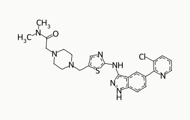 CN(C)C(=O)CN1CCN(Cc2cnc(Nc3n[nH]c4ccc(-c5ncccc5Cl)cc34)s2)CC1